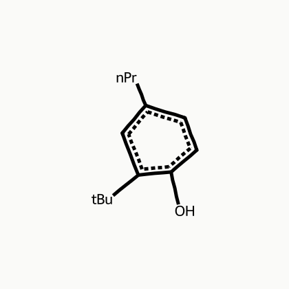 CCCc1ccc(O)c(C(C)(C)C)c1